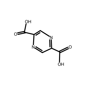 O=C(O)c1cnc(C(=O)O)cn1